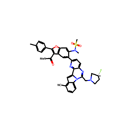 CNC(=O)c1c(-c2ccc(C)cc2)oc2cc(N(C)S(C)(=O)=O)c(-c3ccc4nc(CN5CC[C@@H](F)C5)n5c6cccc(C#N)c6cc5c4n3)cc12